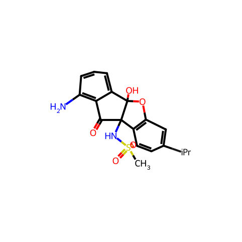 CC(C)c1ccc2c(c1)OC1(O)c3cccc(N)c3C(=O)C21NS(C)(=O)=O